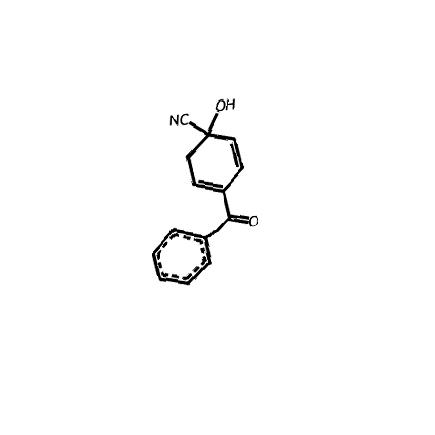 N#CC1(O)C=CC(C(=O)c2ccccc2)=CC1